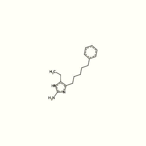 CCc1[nH]c(N)nc1CCCCCc1ccccc1